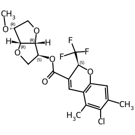 CO[C@@H]1CO[C@H]2[C@@H]1OC[C@@H]2OC(=O)C1=Cc2c(cc(C)c(Cl)c2C)O[C@@H]1C(F)(F)F